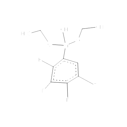 CCO[Si](C)(OCC)c1cc(F)c(F)c(F)c1F